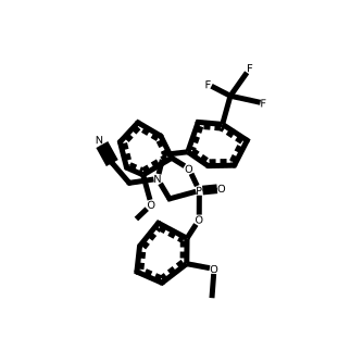 COc1ccccc1OP(=O)(CN(CC#N)Sc1cccc(C(F)(F)F)c1)Oc1ccccc1OC